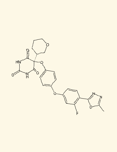 Cc1nnc(-c2ccc(Oc3ccc(OC4(C5CCCOC5)C(=O)NC(=O)NC4=O)cc3)cc2F)o1